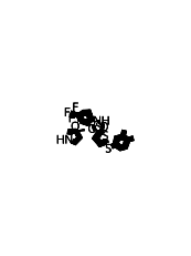 Cc1ccc(Sc2ccc(S(=O)(=O)Nc3ccc(C(F)(F)F)c(O[C@]4(C)CCNC4)c3)s2)cc1C